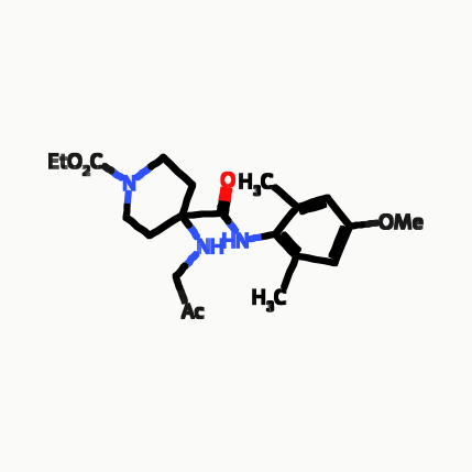 CCOC(=O)N1CCC(NCC(C)=O)(C(=O)Nc2c(C)cc(OC)cc2C)CC1